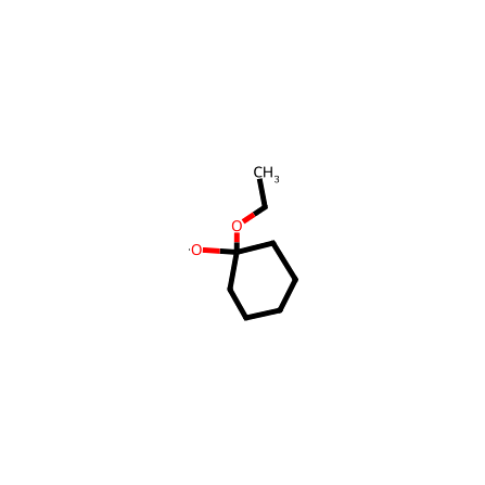 CCOC1([O])CCCCC1